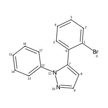 Brc1ccccc1-c1ccnn1-c1ccccc1